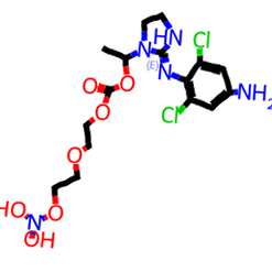 CC(OC(=O)OCCOCCON(O)O)N1CCN/C1=N\c1c(Cl)cc(N)cc1Cl